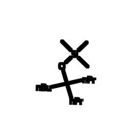 CCCCC(CCC)(CCC)O[Si](C)(C)C